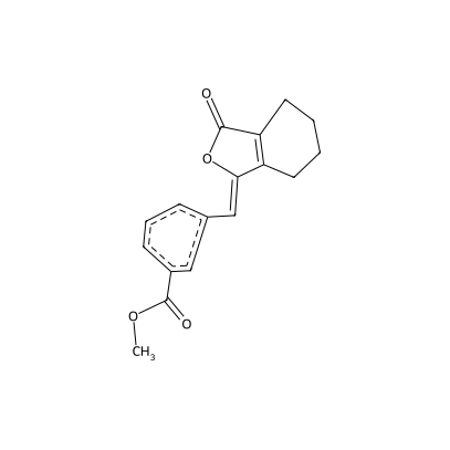 COC(=O)c1cccc(C=C2OC(=O)C3=C2CCCC3)c1